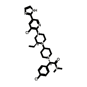 CC[C@H]1CN(c2ncc(-c3ncc[nH]3)cc2Cl)CCN1C1CCN([C@H](C(=O)N(C)C)c2ccc(Cl)cc2)CC1